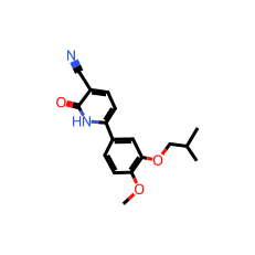 COc1ccc(-c2ccc(C#N)c(=O)[nH]2)cc1OCC(C)C